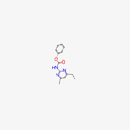 CCc1cc(C)nc(NC(=O)Oc2ccccc2)n1